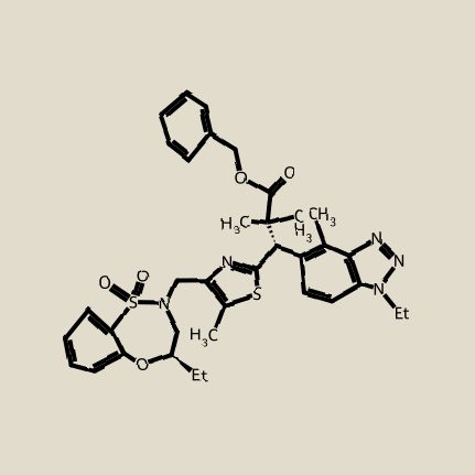 CC[C@@H]1CN(Cc2nc([C@@H](c3ccc4c(nnn4CC)c3C)C(C)(C)C(=O)OCc3ccccc3)sc2C)S(=O)(=O)c2ccccc2O1